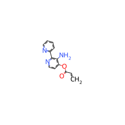 C=CC(=O)Oc1ccnc(-c2ccccn2)c1N